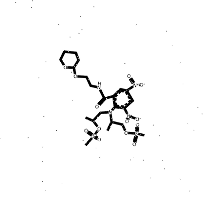 CC(CN(c1c(C(=O)NCCOC2CCCCO2)cc([N+](=O)[O-])cc1[N+](=O)[O-])C(C)COS(C)(=O)=O)OS(C)(=O)=O